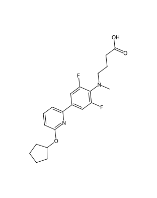 CN(CCCC(=O)O)c1c(F)cc(-c2cccc(OC3CCCC3)n2)cc1F